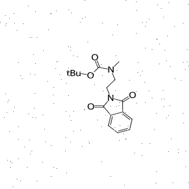 CN(CCN1C(=O)c2ccccc2C1=O)C(=O)OC(C)(C)C